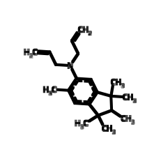 C=CCN(CC=C)c1cc2c(cc1C)C(C)(C)C(C)C2(C)C